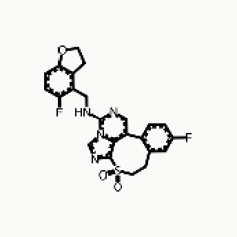 O=S1(=O)CCc2cc(F)ccc2-c2cnc(NCc3c(F)ccc4c3CCO4)n3cnc1c23